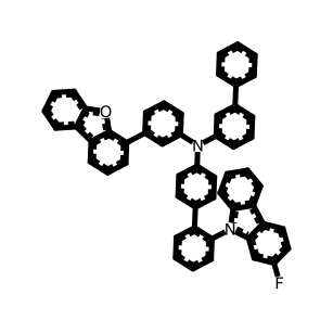 Fc1ccc2c3ccccc3n(-c3ccccc3-c3ccc(N(c4cccc(-c5ccccc5)c4)c4cccc(-c5cccc6c5oc5ccccc56)c4)cc3)c2c1